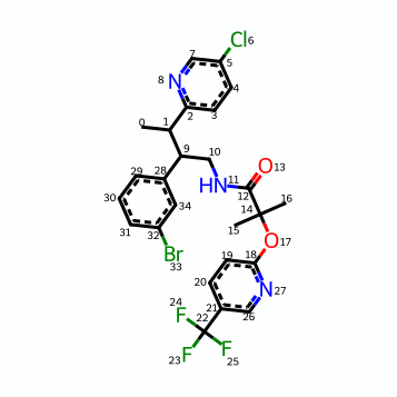 CC(c1ccc(Cl)cn1)C(CNC(=O)C(C)(C)Oc1ccc(C(F)(F)F)cn1)c1cccc(Br)c1